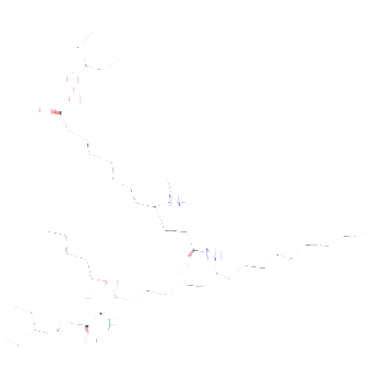 CCCCCCCCCCC(CCCCCC(OCCCCC)C(F)(F)C(=O)OOC(CC)CC)NC(=O)CCC(CCCCCCCC(=O)OOC(CC)CC)N(C)C